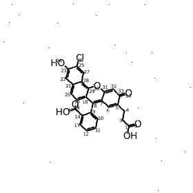 O=C(O)CCc1cc2c(-c3ccccc3C(=O)O)c3ccc4cc(O)c(Cl)cc4c3oc-2cc1=O